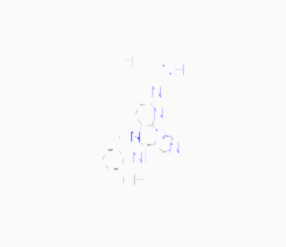 Cc1cccc(C)c1Nc1nc2ccc(N3CCN[C@H](C)C3)nc2n2cncc12